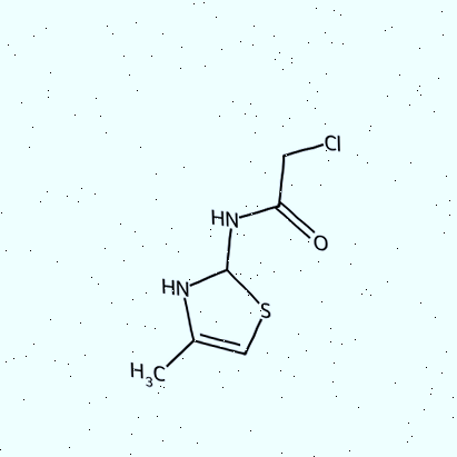 CC1=CSC(NC(=O)CCl)N1